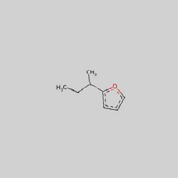 CC[C](C)c1ccco1